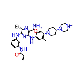 C=CC(=O)Nc1cccc(Nc2nc(Nc3ccc(N4CCC(N5CCN(C)CC5)CC4)c(C)c3)c(C(N)=O)nc2CC)c1